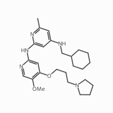 COc1cnc(Nc2cc(NCC3CCCCC3)cc(C)n2)cc1OCCCN1CCCC1